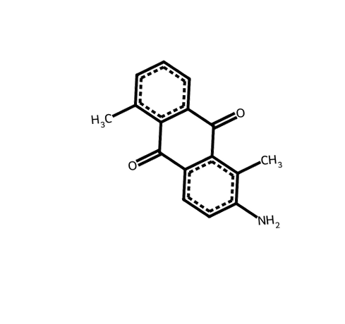 Cc1cccc2c1C(=O)c1ccc(N)c(C)c1C2=O